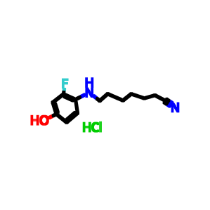 Cl.N#CCCCCCCNc1ccc(O)cc1F